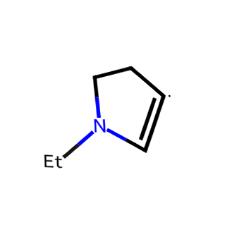 CCN1C=[C]CC1